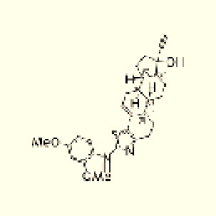 C#CC1(O)CC[C@H]2[C@@H]3CC=C4c5sc(Nc6ccc(OC)cc6OC)nc5CC[C@]4(C)[C@H]3CC[C@@]21C